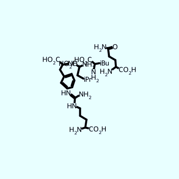 CC(C)CC(N)C(=O)O.CCC(C)C(N)C(=O)O.N=C(N)NCCCC(N)C(=O)O.NC(=O)CCC(N)C(=O)O.NC(Cc1ccccc1)C(=O)O